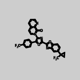 O=c1c2ncccc2ccn1-c1nc(-c2nc3cc(C4(C(F)(F)F)CC4)ccc3o2)oc1-c1ccc(C(F)(F)F)cc1